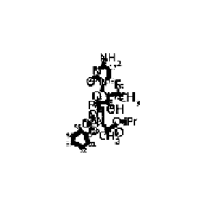 CC(C)OC(=O)[C@H](C)NP(=O)(OC[C@@]1(F)OC(n2ccc(N)nc2=O)[C@@H]([C@H](C)F)[C@@H]1O)Oc1ccccc1